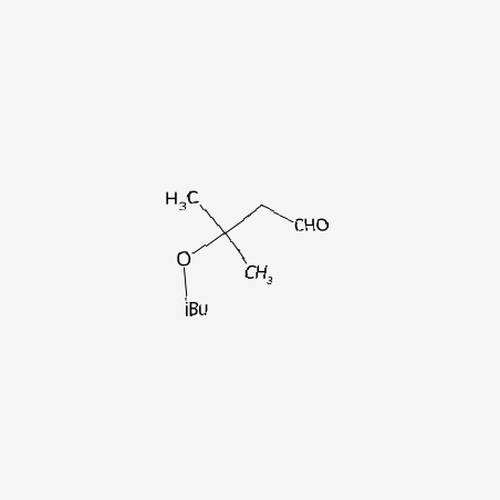 CCC(C)OC(C)(C)CC=O